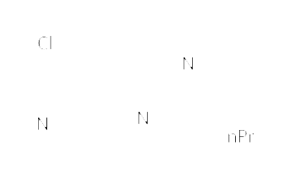 CCCc1ncc2c(Cl)nccn12